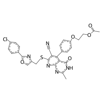 CC(=O)OCCOc1ccc(-c2c(C#N)c(SCc3coc(-c4ccc(Cl)cc4)n3)nc3nc(C)[nH]c(=O)c23)cc1